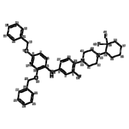 Fc1cc(Nc2ccc(OCc3ccccc3)nc2OCc2ccccc2)ccc1N1CCN(C2CCCCC2(F)F)CC1